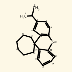 CC(C)c1ccc2c(c1)C1(CCCCCC1)c1ccccc1S2